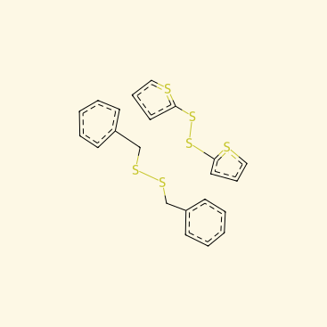 c1ccc(CSSCc2ccccc2)cc1.c1csc(SSc2cccs2)c1